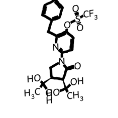 CC(O)(O)[C@@H]1C(=O)N(c2ccc(OS(=O)(=O)C(F)(F)F)c(Cc3ccccc3)n2)C[C@@H]1C(C)(O)O